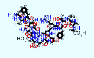 CC[C@H](C)[C@H](NC(=O)[C@@H](NC(=O)[C@H](Cc1ccc(O)cc1)NC(=O)[C@H](CCCNC(=N)N)NC(=O)[C@H](CCCNC(=N)N)NC(=O)[C@@H]1CCCN1C(=O)CNC(=O)[C@H](CO)NC(=O)[C@H](CC(=O)O)NC(=O)[C@H](CC(N)=O)NC(=O)[C@H](C)NC(=O)[C@@H](NC(=O)[C@H](Cc1ccccc1)NC(=O)[C@@H](NC(=O)[C@@H](N)C(C)C)C(C)C)[C@@H](C)O)[C@@H](C)O)C(=O)N[C@@H](C)C(=O)N[C@@H](C)C(=O)O